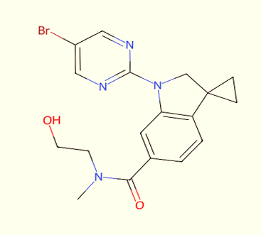 CN(CCO)C(=O)c1ccc2c(c1)N(c1ncc(Br)cn1)CC21CC1